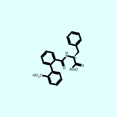 COC(=O)[C@H](Cc1ccccc1)NC(=O)c1ccccc1-c1ccccc1C(=O)O